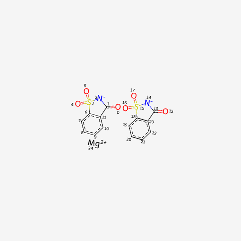 O=C1[N-]S(=O)(=O)c2ccccc21.O=C1[N-]S(=O)(=O)c2ccccc21.[Mg+2]